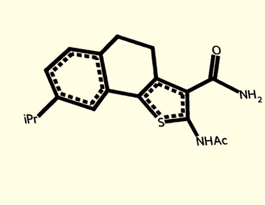 CC(=O)Nc1sc2c(c1C(N)=O)CCc1ccc(C(C)C)cc1-2